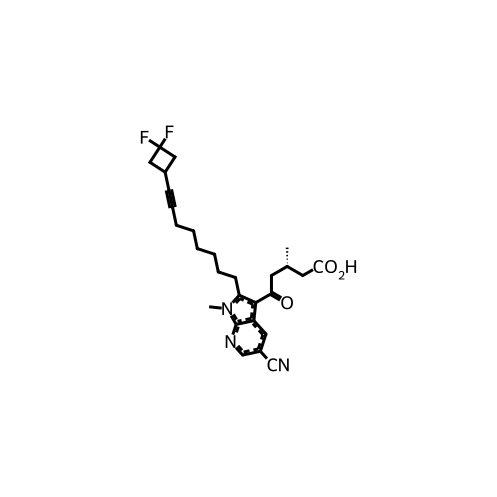 C[C@H](CC(=O)O)CC(=O)c1c(CCCCCCC#CC2CC(F)(F)C2)n(C)c2ncc(C#N)cc12